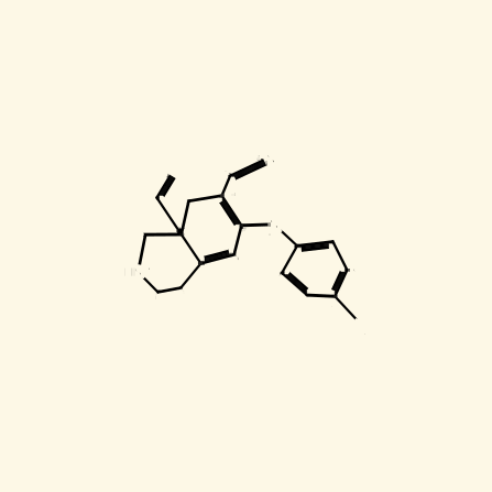 C=CC12CNCCC1=CC(Nc1ccc(F)cc1)=C(C=N)C2